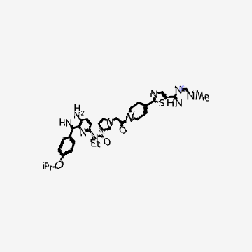 CCN(C(=O)[C@@H]1CCN(CC(=O)N2CC=C(c3ncc(C(=N)/N=C\NC)s3)CC2)C1)c1ccc(N)c(C(=N)c2ccc(OC(C)C)cc2)n1